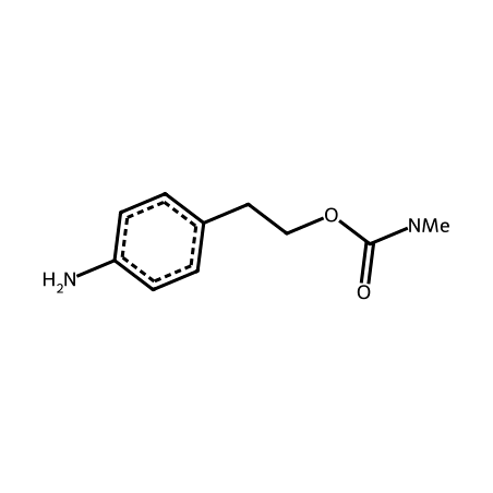 CNC(=O)OCCc1ccc(N)cc1